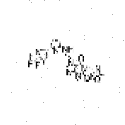 Cc1nc(Cn2c(=O)c3c(ncn3CCNc3cccc(-c4cnc(C(F)(F)F)c(C)c4)n3)n(C)c2=O)no1